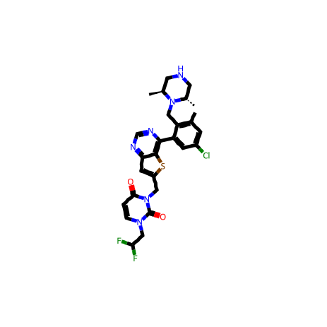 Cc1cc(Cl)cc(-c2ncnc3cc(Cn4c(=O)ccn(CC(F)F)c4=O)sc23)c1CN1[C@@H](C)CNC[C@@H]1C